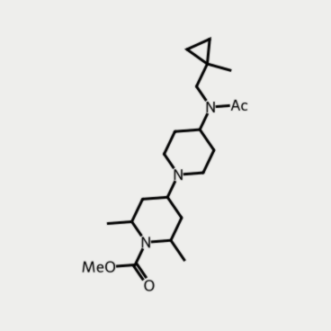 COC(=O)N1C(C)CC(N2CCC(N(CC3(C)CC3)C(C)=O)CC2)CC1C